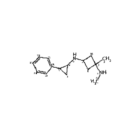 CNC1(C)CC(NC2CC2c2ccccc2)C1